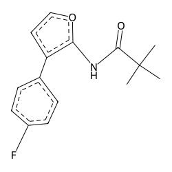 CC(C)(C)C(=O)Nc1occc1-c1ccc(F)cc1